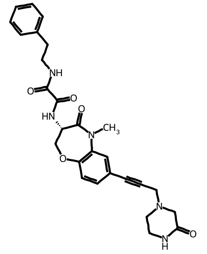 CN1C(=O)[C@@H](NC(=O)C(=O)NCCc2ccccc2)COc2ccc(C#CCN3CCNC(=O)C3)cc21